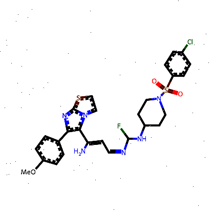 COc1ccc(-c2nc3sccn3c2/C(N)=C/C=N\C(F)NC2CCN(S(=O)(=O)c3ccc(Cl)cc3)CC2)cc1